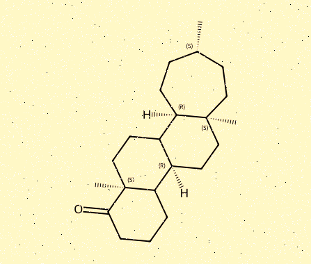 C[C@H]1CC[C@@H]2C3CC[C@]4(C)C(=O)CCCC4[C@@H]3CC[C@]2(C)CC1